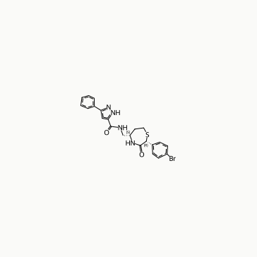 O=C(NC[C@@H]1CCS[C@H](c2ccc(Br)cc2)C(=O)N1)c1cc(-c2ccccc2)n[nH]1